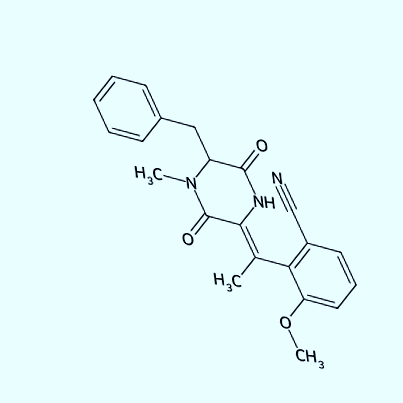 COc1cccc(C#N)c1C(C)=C1NC(=O)C(Cc2ccccc2)N(C)C1=O